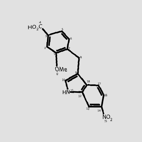 COc1cc(C(=O)O)ccc1Cc1c[nH]c2cc([N+](=O)[O-])ccc12